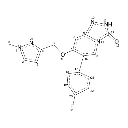 Cn1ccc(COc2cc3n[nH]c(=O)n3cc2-c2ccc(F)cc2)n1